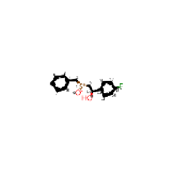 [O-][S+](Cc1ccccc1)CC(O)c1ccc(F)cc1